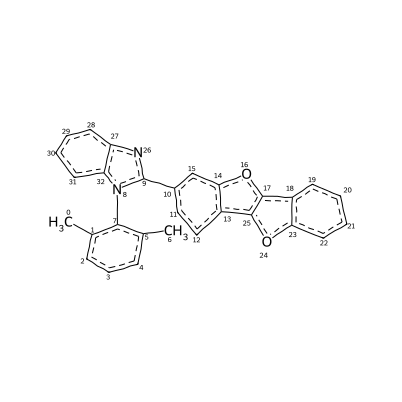 Cc1cccc(C)c1-n1c(-c2ccc3c(c2)oc2c4ccccc4oc32)nc2ccccc21